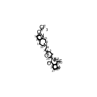 O=C(N[C@H]1CC[C@H](CCN2CCc3ccc(OCC(F)(F)F)nc3CC2)OC1)c1cccnc1C(F)F